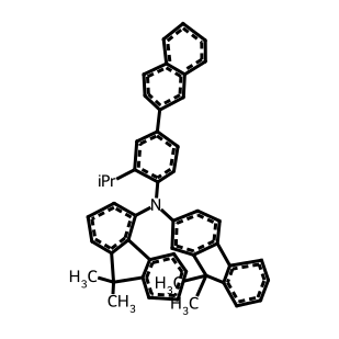 CC(C)c1cc(-c2ccc3ccccc3c2)ccc1N(c1ccc2c(c1)C(C)(C)c1ccccc1-2)c1cccc2c1-c1ccccc1C2(C)C